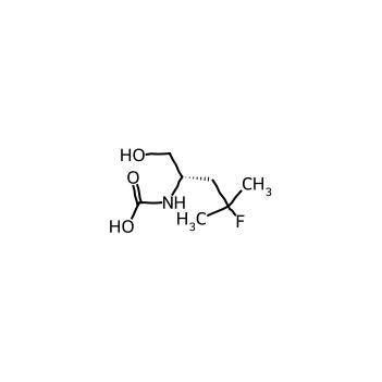 CC(C)(F)C[C@@H](CO)NC(=O)O